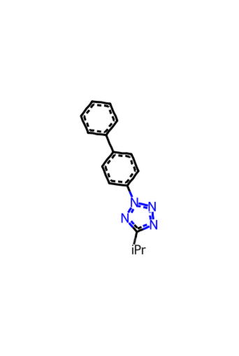 CC(C)c1nnn(-c2ccc(-c3ccccc3)cc2)n1